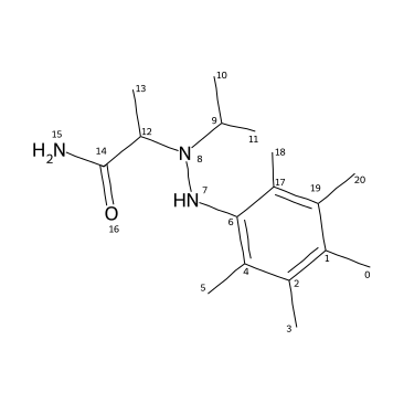 Cc1c(C)c(C)c(NN(C(C)C)C(C)C(N)=O)c(C)c1C